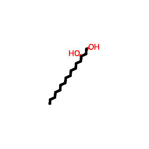 CCCCCCCCCCCCCC(O)CCO